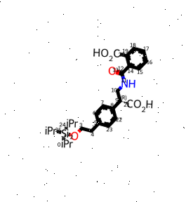 CC(C)[Si](OCCc1ccc([C@H](CNC(=O)c2ccccc2C(=O)O)C(=O)O)cc1)(C(C)C)C(C)C